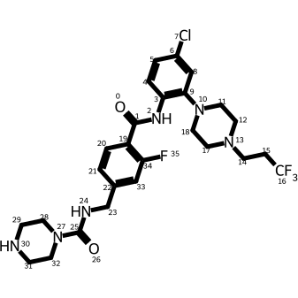 O=C(Nc1ccc(Cl)cc1N1CCN(CCC(F)(F)F)CC1)c1ccc(CNC(=O)N2CCNCC2)cc1F